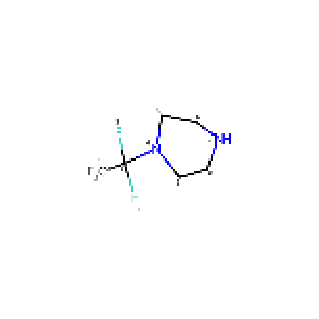 FC(F)(F)C(F)(F)N1CCNCC1